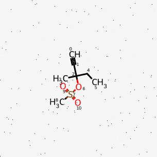 C#CC(C)(CC)OS(C)(=O)=O